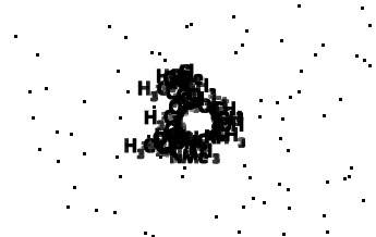 CC[C@H]1OC(=O)[C@H](C)[C@@H](O[C@H]2C[C@@](C)(OC)[C@](O)(CCl)[C@H](C)O2)[C@H](C)[C@@H](O[C@@H]2O[C@H](C)C[C@H](NC)[C@H]2O)[C@](C)(O)C[C@@H](C)CN[C@H](C)[C@@H](O)[C@]1(C)O